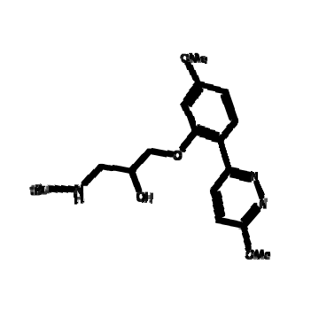 COc1ccc(-c2ccc(OC)nn2)c(OCC(O)CNC(C)(C)C)c1